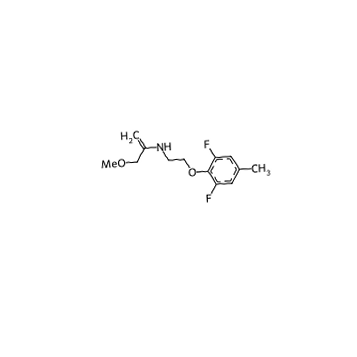 C=C(COC)NCCOc1c(F)cc(C)cc1F